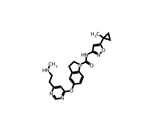 CNCCc1cc(Oc2ccc3c(c2)CCN3C(=O)Nc2cc(C3(C)CC3)on2)ncn1